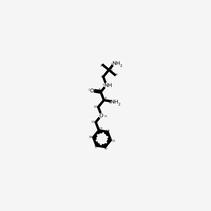 CC(C)(N)CNC(=O)C(N)COCc1ccccc1